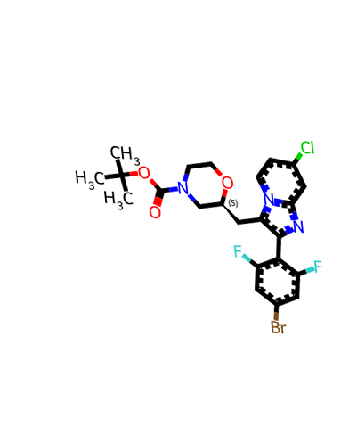 CC(C)(C)OC(=O)N1CCO[C@@H](Cc2c(-c3c(F)cc(Br)cc3F)nc3cc(Cl)ccn23)C1